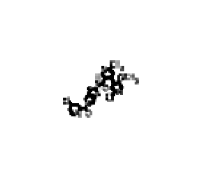 COc1cnc(Cl)cc1-c1cc(C)ncc1C(=O)Nc1nc2c(s1)CN(C(=O)c1cc(Cl)ccn1)C2